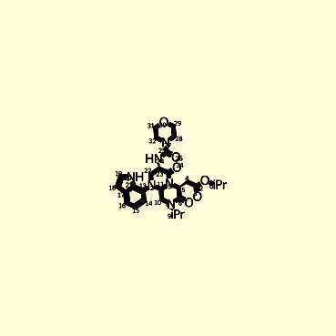 CC(C)OC(=O)C[C@H]1C(=O)N(C(C)C)CC2N(c3cccc4cc[nH]c34)C[C@H](NC(=O)N3CCOCC3)C(=O)N21